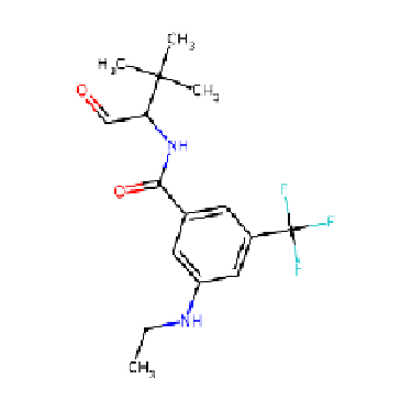 CCNc1cc(C(=O)NC(C=O)C(C)(C)C)cc(C(F)(F)F)c1